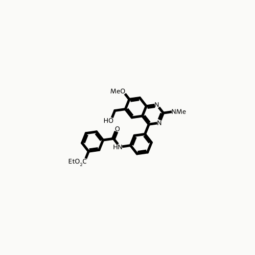 CCOC(=O)c1cccc(C(=O)Nc2cccc(-c3nc(NC)nc4cc(OC)c(CO)cc34)c2)c1